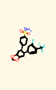 NS(=O)(=O)c1ccc(-c2cc3c(cc2-c2ccc(C(F)(F)F)c(F)c2)OCO3)cc1